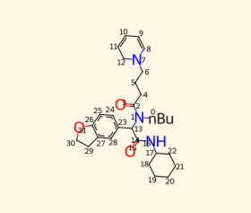 CCCCN(C(=O)CCCN1C=CC=CC1)C(C(=O)NC1CCCCC1)c1ccc2c(c1)CCO2